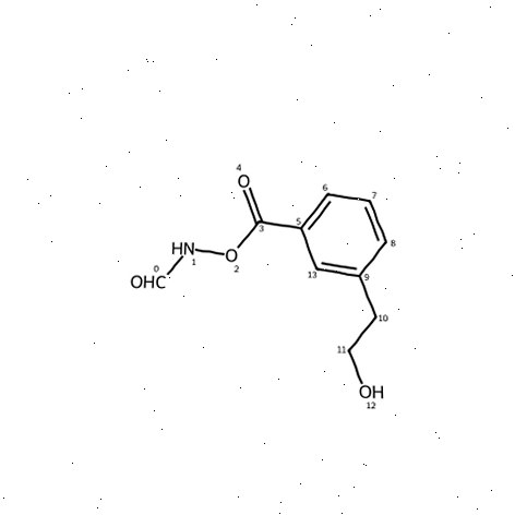 O=CNOC(=O)c1cccc(CCO)c1